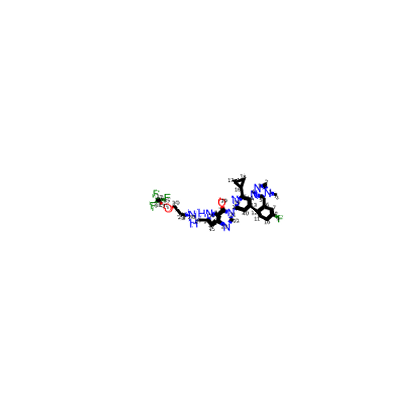 Cn1cnnc1-c1cc(F)ccc1-c1cc(C2CC2)nc(-n2cnc3cc(CNCCOC(F)(F)F)[nH]c3c2=O)c1